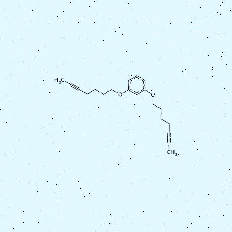 CC#CCCCCOc1[c]ccc(OCCCCC#CC)c1